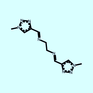 Cn1cc(C=NCCN=Cc2cn(C)nn2)nn1